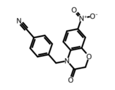 N#Cc1ccc(CN2C(=O)COc3cc([N+](=O)[O-])ccc32)cc1